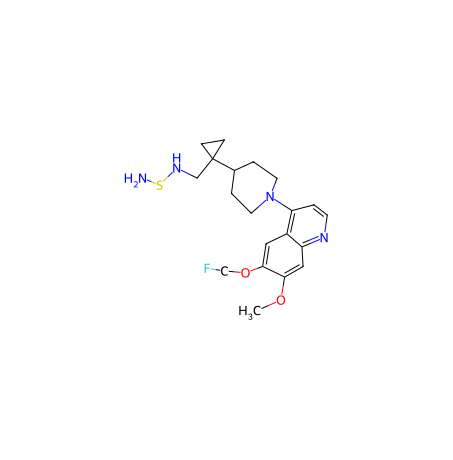 COc1cc2nccc(N3CCC(C4(CNSN)CC4)CC3)c2cc1OCF